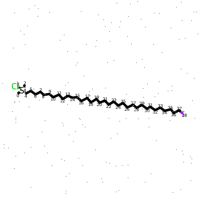 C[Si](C)(Cl)CCCCCCCCCCCCCCCCCCCCCCCCCCCCCCCCCCI